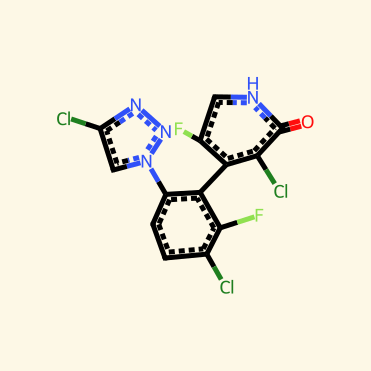 O=c1[nH]cc(F)c(-c2c(-n3cc(Cl)nn3)ccc(Cl)c2F)c1Cl